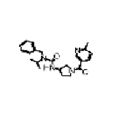 Cc1ccc(C(=O)N2CCC(NC(=O)N(Cc3ccccc3)C(C)C)C2)cn1